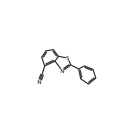 N#Cc1cccc2sc(-c3ccccc3)nc12